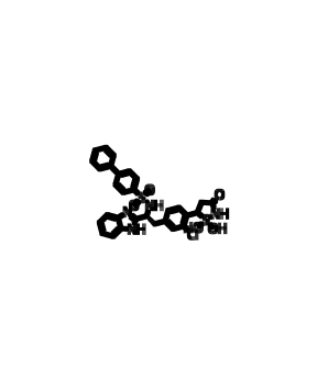 O=C1CC(c2ccc(C[C@H](NS(=O)(=O)c3ccc(-c4ccccc4)cc3)c3nc4ccccc4[nH]3)cc2Cl)S(O)(O)N1